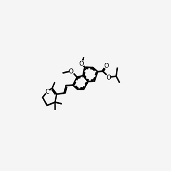 COc1cc(C(=O)OC(C)C)cc2ccc(/C=C/C3=C(C)CCCC3(C)C)c(OC)c12